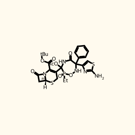 CCP1(=O)ONC(c2ccccc2)(c2csc(N)n2)C(=O)NC1(OC(C)=O)C1=C(C(=O)OC(C)(C)C)N2C(=O)C[C@H]2SC1